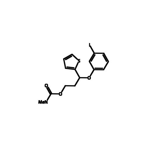 CNC(=O)OCCC(Oc1cccc(I)c1)c1cccs1